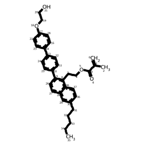 C=C(C)C(=O)OCCc1c(-c2ccc(-c3ccc(OCCO)cc3)cc2)ccc2cc(CCCCC)ccc12